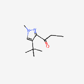 CCC(=O)c1nn(C)cc1C(C)(C)C